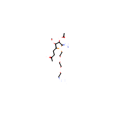 CNC1C(OC(C)=O)C(OC)C(CCC(C)=O)P1CCOCCOCCN